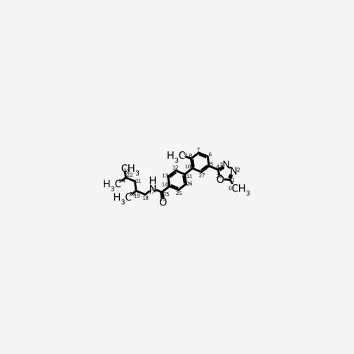 Cc1nnc(-c2ccc(C)c(-c3ccc(C(=O)NCC(C)CC(C)C)cc3)c2)o1